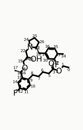 CCOC(=O)CCCCc1ccc(F)cc1[C@@H](C)OC[C@H](O)CN1CCC[C@H]1CC1=CC(F)C(C)C=C1